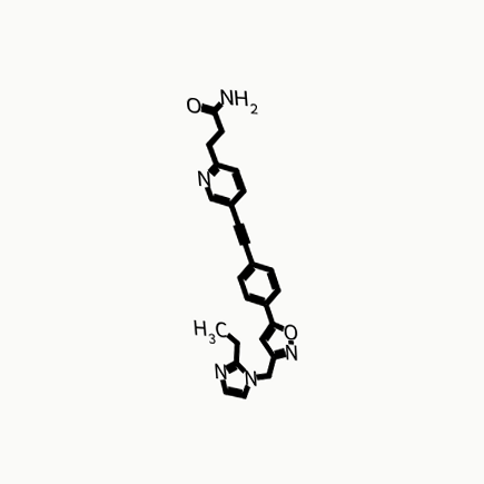 CCc1nccn1Cc1cc(-c2ccc(C#Cc3ccc(CCC(N)=O)nc3)cc2)on1